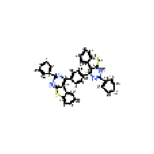 c1ccc(-c2nc(-c3ccc(-c4nc(-c5ccccc5)nc5sc6ccccc6c45)cc3)c3c(n2)sc2ccccc23)cc1